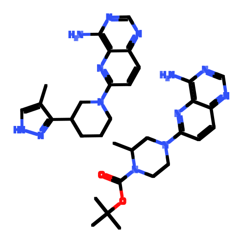 CC1CN(c2ccc3ncnc(N)c3n2)CCN1C(=O)OC(C)(C)C.Cc1c[nH]nc1C1CCCN(c2ccc3ncnc(N)c3n2)C1